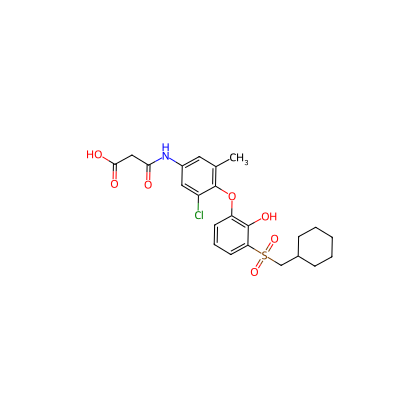 Cc1cc(NC(=O)CC(=O)O)cc(Cl)c1Oc1cccc(S(=O)(=O)CC2CCCCC2)c1O